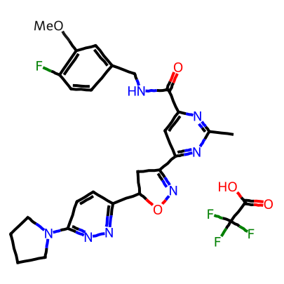 COc1cc(CNC(=O)c2cc(C3=NOC(c4ccc(N5CCCC5)nn4)C3)nc(C)n2)ccc1F.O=C(O)C(F)(F)F